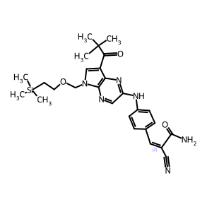 CC(C)(C)C(=O)c1cn(COCC[Si](C)(C)C)c2ncc(Nc3ccc(/C=C(/C#N)C(N)=O)cc3)nc12